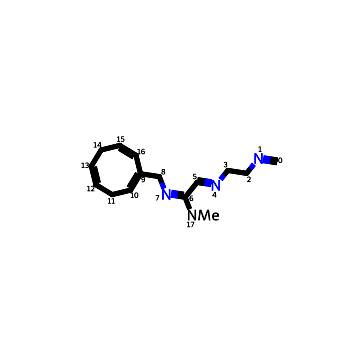 C=NCC/N=C/C(=N\CC1=C/CC=CC/C=C\1)NC